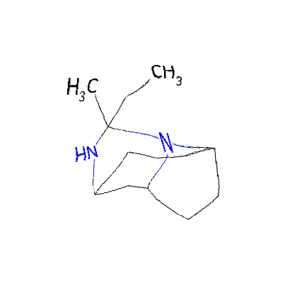 CC1(C)NC2CC3CCC2N31